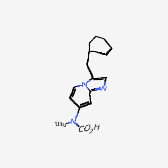 CC(C)(C)N(C(=O)O)c1ccn2c(CC3CCCCC3)cnc2c1